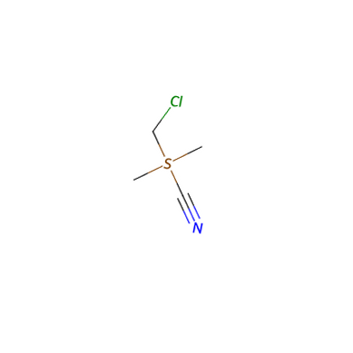 CS(C)(C#N)CCl